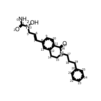 NC(=O)N(O)CC=Cc1ccc2c(c1)CCN(CCCc1ccccc1)C2=O